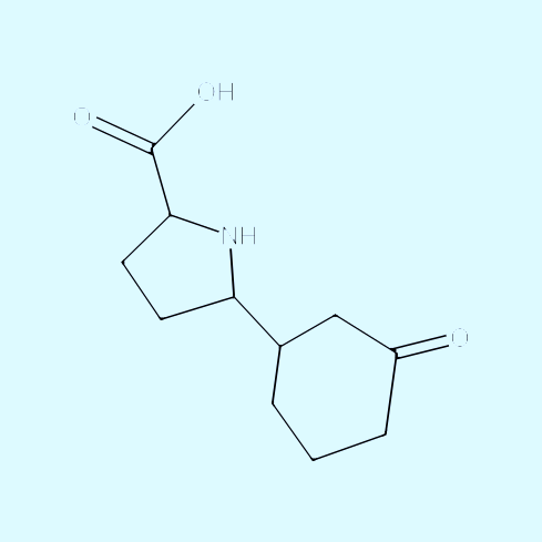 O=C1CCCC(C2CCC(C(=O)O)N2)C1